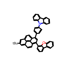 CC(C)(C)c1cc2ccc3c(-c4ccc(-n5c6ccccc6c6ccccc65)cc4)cc(-c4cccc5c4oc4ccccc45)c4ccc(c1)c2c34